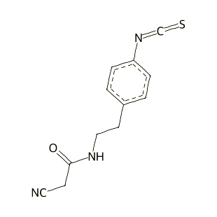 N#CCC(=O)NCCc1ccc(N=C=S)cc1